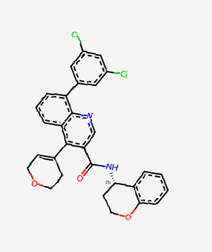 O=C(N[C@H]1CCOc2ccccc21)c1cnc2c(-c3cc(Cl)cc(Cl)c3)cccc2c1C1=CCOCC1